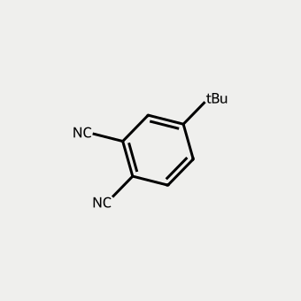 CC(C)(C)c1ccc(C#N)c(C#N)c1